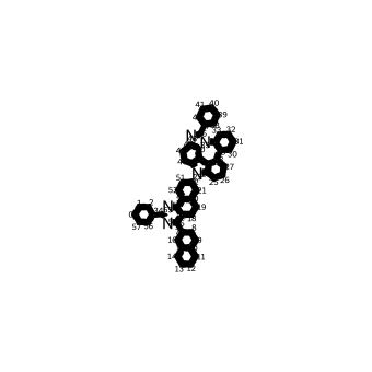 c1ccc(-c2nc(-c3ccc4ccccc4c3)c3ccc4cc(-n5c6cccc7c8ccccc8n8c(-c9ccccc9)nc9ccc5c(c76)c98)ccc4c3n2)cc1